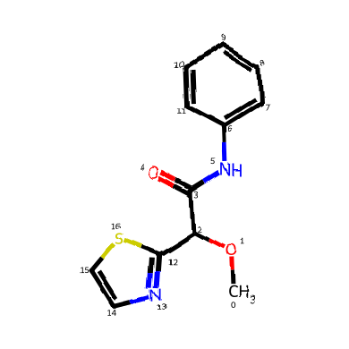 COC(C(=O)Nc1ccccc1)c1nccs1